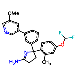 COc1cncc(-c2cccc(C3(c4ccc(OC(F)F)cc4C)CCC(N)=N3)c2)c1